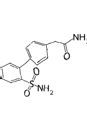 NC(=O)Cc1ccc(-c2ccccc2S(N)(=O)=O)cc1